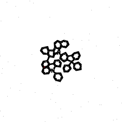 c1ccc(N(c2ccccc2)c2ccccc2-c2ccccc2-c2cc3c(c4ccccc24)c2ccc4ccccc4c2n3-c2ccc3c(c2)-c2ccccc2C3(c2ccccc2)c2ccccc2)cc1